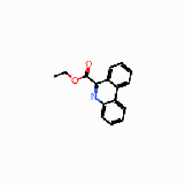 CCOC(=O)c1nc2ccccc2c2ccccc12